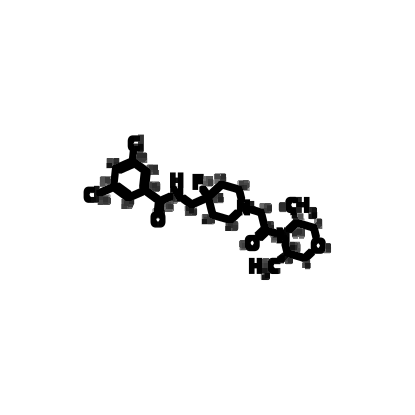 C[C@@H]1COC[C@@H](C)N1C(=O)CN1CCC(F)(CNC(=O)c2cc(Cl)cc(Cl)c2)CC1